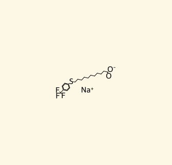 O=C([O-])CCCCCCCCCCSc1ccc(C(F)(F)F)cc1.[Na+]